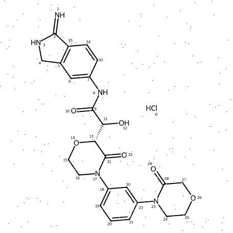 Cl.N=C1NCc2cc(NC(=O)C(O)[C@H]3OCCN(c4cccc(N5CCOCC5=O)c4)C3=O)ccc21